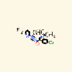 CC([C]=O)n1cc(C(=O)N2CCN(c3ccc(C(F)(F)F)cn3)CC2)c2ccc(Cl)cc21